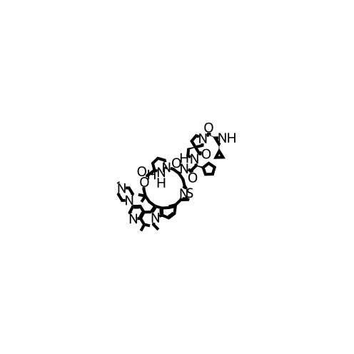 CCn1c(-c2cc(N3CCN(C)CC3)cnc2C(C)C)c2c3cc(ccc31)-c1csc(n1)C[C@H](NC(=O)[C@H](C1CCCC1)N1CC[C@]3(CCN(C(=O)[C@@H]4N[C@@H]4C4CC4)C3)C1=O)C(=O)N1CCC[C@H](N1)C(=O)OCC(C)(C)C2